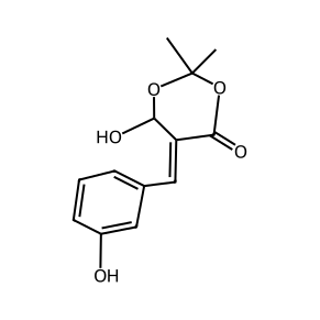 CC1(C)OC(=O)/C(=C/c2cccc(O)c2)C(O)O1